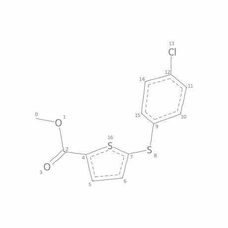 COC(=O)c1ccc(Sc2ccc(Cl)cc2)s1